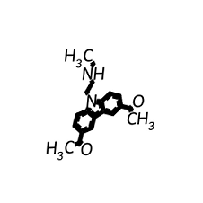 CCNCCn1c2ccc(C(C)=O)cc2c2cc(C(C)=O)ccc21